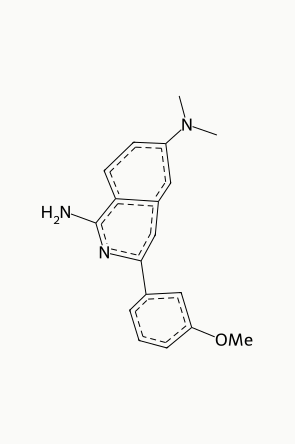 COc1cccc(-c2cc3cc(N(C)C)ccc3c(N)n2)c1